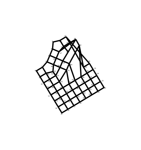 CC12C3CC4C5C6C7CC8C9C%10C%11C%12C%13CC%14C%15C%16C%17C%18C%19CC%20C%21C%22C%23C3C13C%231C%22%23C%21%22C%20%19C%18%19C%17%18C%16%17C%15%16C%13%14C%12%13C%11%12C%10%11C9%10C87C7(C)C68C56C42C32C63C84C7%10C%115C%126C%13%16C%177C%188C%22%19C%239C12C31C45C67C981